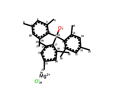 Cc1cc(C)c([Si]([O-])(c2c(C)cc(C)cc2C)c2c(C)cc(C)cc2C)c(C)c1.[Cl-].[Mg+2]